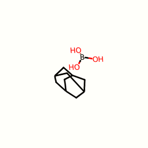 C1C2CC3CC1CC(C2)C3.OB(O)O